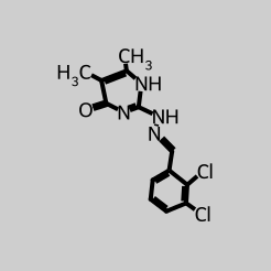 Cc1[nH]c(NN=Cc2cccc(Cl)c2Cl)nc(=O)c1C